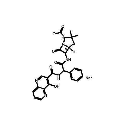 CC1(C)S[C@@H]2C(NC(=O)C(NC(=O)c3cnc4cccnc4c3O)c3ccccc3)C(=O)N2[C@H]1C(=O)[O-].[Na+]